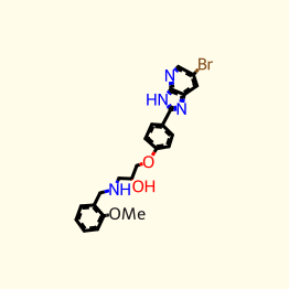 COc1ccccc1CNCC(O)COc1ccc(-c2nc3cc(Br)cnc3[nH]2)cc1